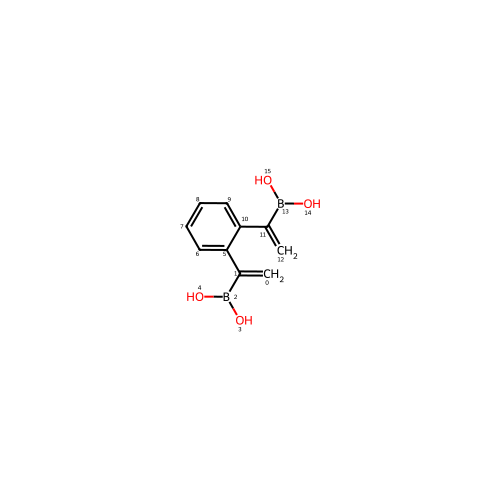 C=C(B(O)O)c1ccccc1C(=C)B(O)O